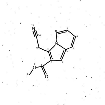 COC(=O)c1cc2ccccn2c1CC#N